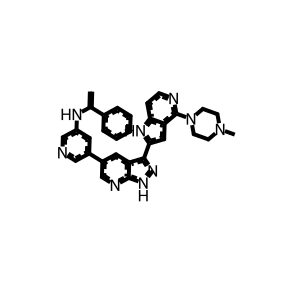 C=C(Nc1cncc(-c2cnc3[nH]nc(-c4cc5c(N6CCN(C)CC6)nccc5[nH]4)c3c2)c1)c1ccccc1